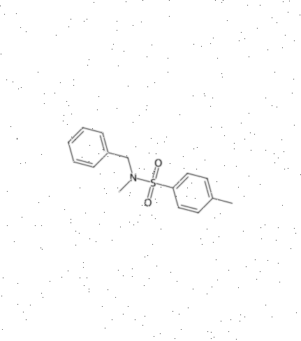 Cc1ccc(S(=O)(=O)N(C)Cc2ccccc2)cc1